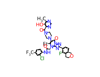 CCc1c(N2CCN(C(=O)c3ncnc(C)c3O)CC2)c(=O)n2nc(-c3ccc4c(c3F)CCOC4)nc2n1CC(=O)Nc1ccc(C(F)(F)F)cc1Cl